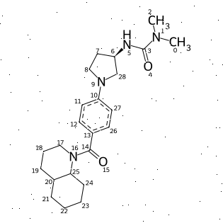 CN(C)C(=O)N[C@@H]1CCN(c2ccc(C(=O)N3CCCC4CCCCC43)cc2)C1